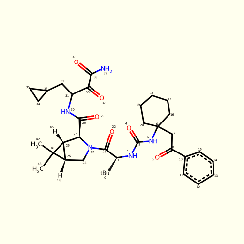 CC(C)(C)[C@H](NC(=O)NC1(CC(=O)c2ccccc2)CCCCC1)C(=O)N1C[C@H]2[C@@H]([C@H]1C(=O)NC(CC1CC1)C(=O)C(N)=O)C2(C)C